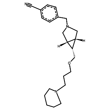 N#Cc1ccc(CN2C[C@@H]3[C@H](COCCCN4CCCCC4)[C@@H]3C2)cc1